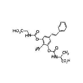 CC(C)c1c(OC(=O)NCC(=O)O)cc(/C=C/c2ccccc2)cc1OC(=O)N[C@@H](C)C(=O)O